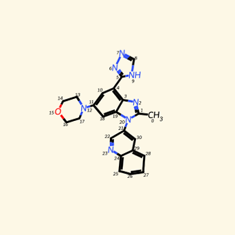 Cc1nc2c(-c3nnc[nH]3)cc(N3CCOCC3)cc2n1-c1cnc2ccccc2c1